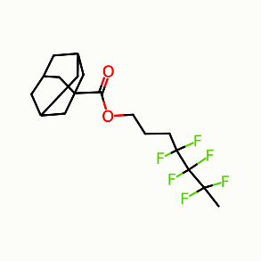 CC(F)(F)C(F)(F)C(F)(F)CCCOC(=O)C12CC3CC(CC(C3)C1)C2